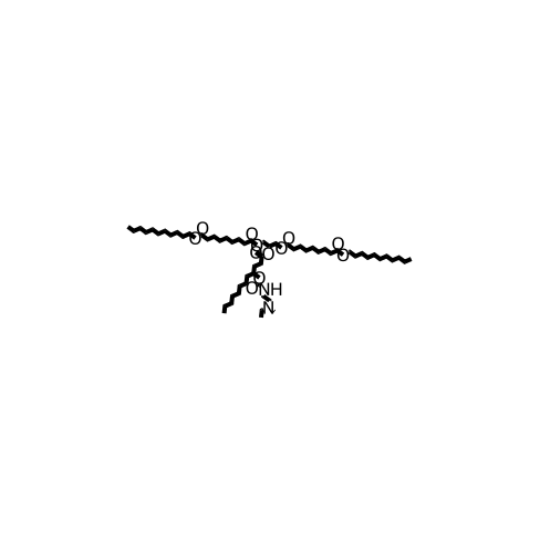 CCCCCCCCCCCOC(=O)CCCCCCCC(=O)OCC(COC(=O)CCCCCCCC(=O)OCCCCCCCCCCC)OC(=O)CCC(CCCCCCCC)OC(=O)NCCN(C)CC